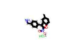 Cc1ccc2oc([N+](=O)[O-])c(-c3ccc(CN)cc3)c2c1.Cl